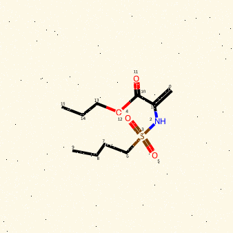 C=C(NS(=O)(=O)CCCC)C(=O)OCCC